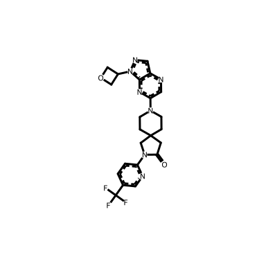 O=C1CC2(CCN(c3cnc4cnn(C5COC5)c4n3)CC2)CN1c1ccc(C(F)(F)F)cn1